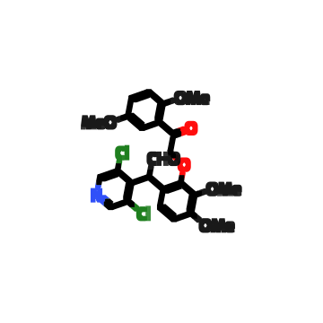 COc1ccc(OC)c(C(=O)COc2c(C(C=O)c3c(Cl)cncc3Cl)ccc(OC)c2OC)c1